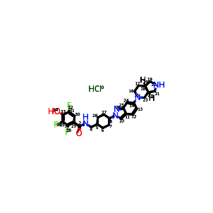 Cl.O=C(NCC1CCC(n2cc3ccc(N4CC[C@@H]5CNC[C@@H]5C4)cc3n2)CC1)c1cc(F)c(O)c(F)c1F